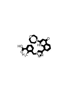 Cc1c(Cn2cc(-c3cccc4c(=O)cc(N5CCCOCC5)[nH]c34)nn2)cccc1C(=O)O